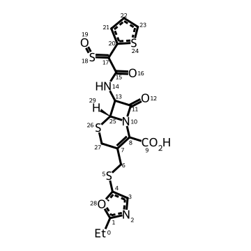 CCc1ncc(SCC2=C(C(=O)O)N3C(=O)C(NC(=O)C(=S=O)c4cccs4)[C@H]3SC2)o1